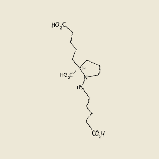 O=C(O)CCCCNN1CCC[C@@]1(CCCCC(=O)O)C(=O)O